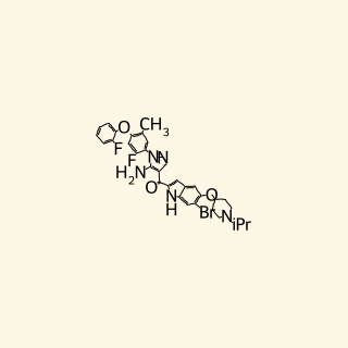 Cc1cc(-n2ncc(C(=O)c3cc4cc(OC5CCN(C(C)C)CC5)c(Br)cc4[nH]3)c2N)c(F)cc1Oc1ccccc1F